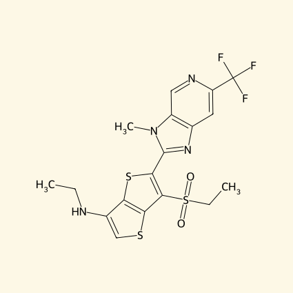 CCNc1csc2c(S(=O)(=O)CC)c(-c3nc4cc(C(F)(F)F)ncc4n3C)sc12